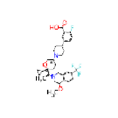 C=C(N1Cc2cc(C(F)(F)F)ccc2C(OC)C1)[C@@]1(C2CC2)CC[C@@H](N2CCC(c3ccc(F)c(C(=O)O)c3)CC2)CO1